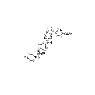 COc1ccc(-c2ccc3cnc(Nc4ccc5nc(CN6CCN(C)CC6)[nH]c5c4)nn23)cn1